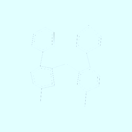 Cc1ccc(-c2ccccc2)c(Sc2cc(C)ccc2-c2ccccc2)c1